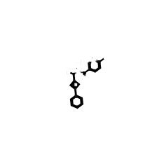 Cc1ccc(C(=O)NC(C(C)C)C23CC(c4ccccc4)(C2)C3)cn1